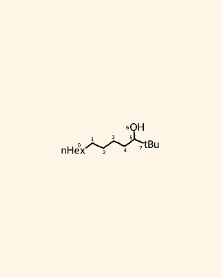 CCCCCCCCCCC(O)C(C)(C)C